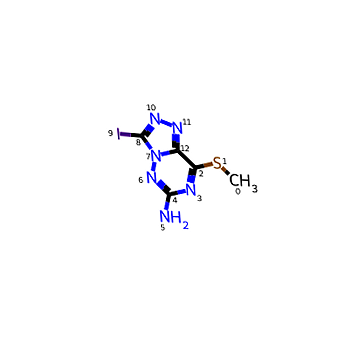 CSc1nc(N)nn2c(I)nnc12